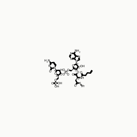 C=CCCC(=O)N[C@@H](CC(=O)SC(C)C)C(=O)O[C@H]1[C@@H](O)[C@H](n2cnc3c(N)ncnc32)O[C@@H]1COP(=O)(O)O[C@H]1C[C@H](n2ccc(N)nc2=O)O[C@@H]1COP(=O)(O)O